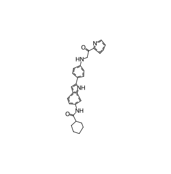 O=C(CNc1ccc(-c2cc3ccc(NC(=O)C4CCCCC4)cc3[nH]2)cc1)c1ccccn1